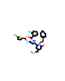 C=Cc1cc(-c2cc(NCc3ccc(Cl)s3)n(C(=O)c3ccccc3F)n2)n(CCc2ccccc2)c(=O)c1